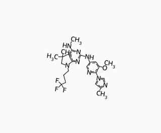 CNc1nc(Nc2cnc(-n3cnc(C)c3)c(OC)c2)nc2c1C(C)(C)CN2CCCC(F)(F)F